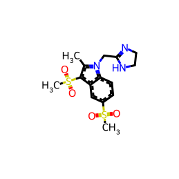 Cc1c(S(C)(=O)=O)c2cc(S(C)(=O)=O)ccc2n1CC1=NCCN1